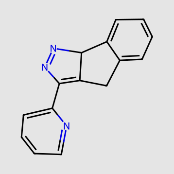 c1ccc(C2=C3Cc4ccccc4C3N=N2)nc1